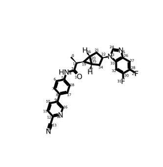 C[C@H](C(=O)Nc1ccc(-c2ccc(C#N)nc2)cc1)[C@H]1[C@@H]2C[C@@H](n3cnc4cc(F)c(F)cc43)C[C@@H]21